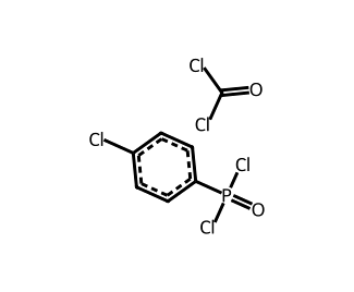 O=C(Cl)Cl.O=P(Cl)(Cl)c1ccc(Cl)cc1